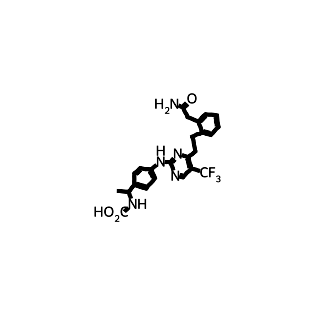 CC(NC(=O)O)c1ccc(Nc2ncc(C(F)(F)F)c(CCc3ccccc3CC(N)=O)n2)cc1